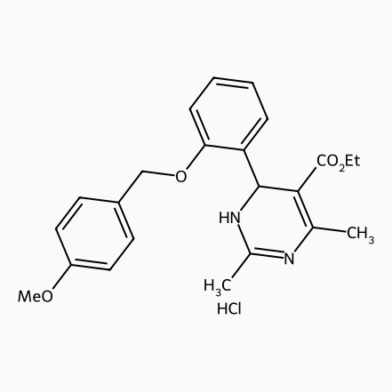 CCOC(=O)C1=C(C)N=C(C)NC1c1ccccc1OCc1ccc(OC)cc1.Cl